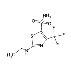 CCNc1nc(C(F)(F)F)c(S(N)(=O)=O)s1